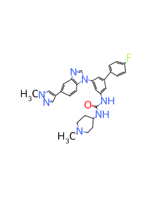 CN1CCC(NC(=O)Nc2cc(-c3ccc(F)cc3)cc(-n3cnc4cc(-c5cnn(C)c5)ccc43)c2)CC1